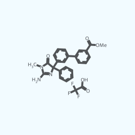 COC(=O)c1cccc(-c2cccc(C3(c4ccccc4)N=C(N)N(C)C3=O)c2)c1.O=C(O)C(F)(F)F